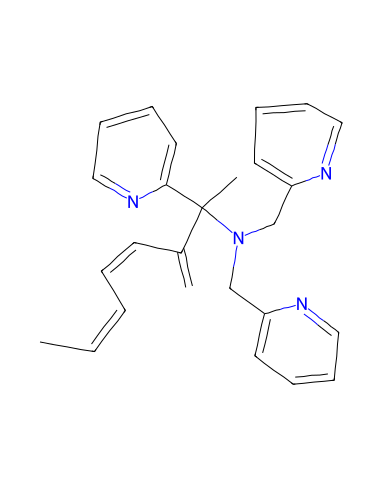 C=C(/C=C\C=C/C)C(C)(c1ccccn1)N(Cc1ccccn1)Cc1ccccn1